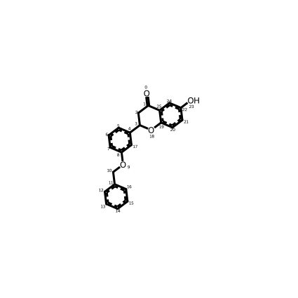 O=C1CC(c2cccc(OCc3ccccc3)c2)Oc2ccc(O)cc21